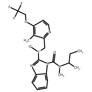 [CH2]C(CC)N(C)C(=O)n1c([S+]([O-])Cc2nccc(OCC(F)(F)F)c2C)nc2ccccc21